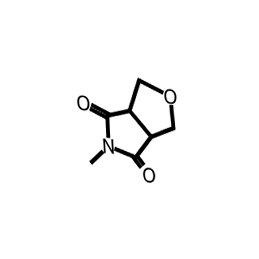 CN1C(=O)C2COCC2C1=O